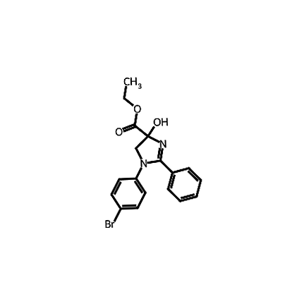 CCOC(=O)C1(O)CN(c2ccc(Br)cc2)C(c2ccccc2)=N1